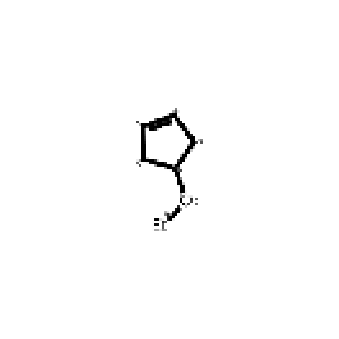 CCOC1CC=CC1